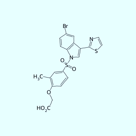 Cc1cc(S(=O)(=O)n2cc(-c3nccs3)c3cc(Br)ccc32)ccc1OCC(=O)O